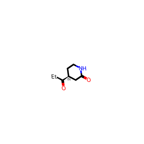 CCC(=O)[C@H]1CCNC(=O)C1